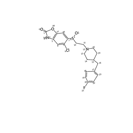 O=c1[nH]c2cc(Cl)c([S+]([O-])CCN3CCC(Cc4ccc(F)cc4)CC3)cc2o1